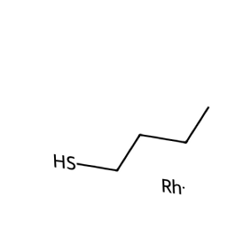 CCCCS.[Rh]